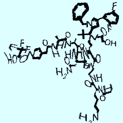 CC(=O)N[C@@H](CCCCN)C(=O)NCCNC(=O)[C@H](CCN(C(=O)CO)[C@@H](c1cc(-c2cc(F)ccc2F)cn1Cc1ccccc1)C(C)(C)C)NC(=O)[C@H](CC(N)=O)NC(=O)[C@H](C)NC(=O)[C@H](C)NC(=O)Cc1ccncc1.O=C(O)C(F)(F)F